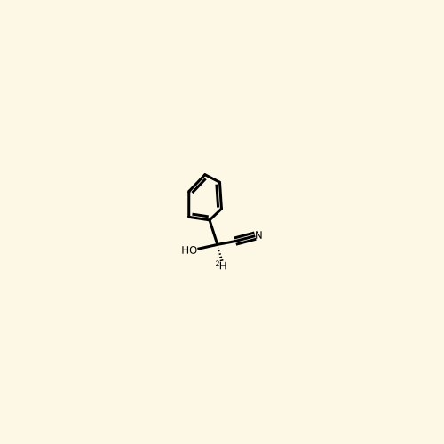 [2H][C@@](O)(C#N)c1ccccc1